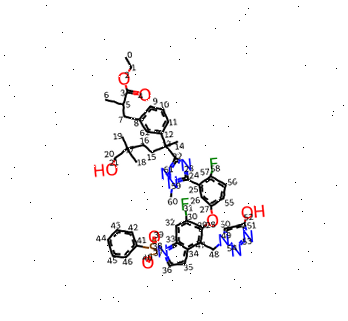 CCOC(=O)C(C)Cc1cccc(C(C)(CCC(C)(C)CO)c2nc(-c3cc(Oc4c(F)cc5c(ccn5S(=O)(=O)c5ccccc5)c4Cn4cc(O)nn4)ccc3F)n(C)n2)c1